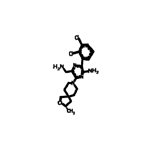 C[C@H]1CC2(CCN(c3nc(N)c(-c4cccc(Cl)c4Cl)nc3CN)CC2)CO1